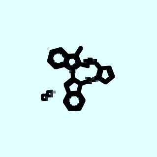 CCCCC1=[C]([Zr+2][CH]2C(n3c(C)c(C)c4ccccc43)=Cc3ccccc32)CC=C1.[Cl-].[Cl-]